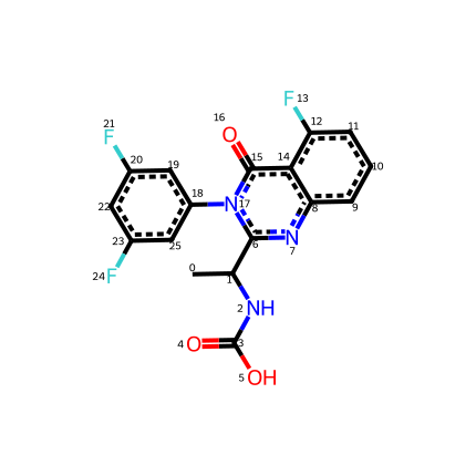 CC(NC(=O)O)c1nc2cccc(F)c2c(=O)n1-c1cc(F)cc(F)c1